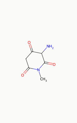 CN1C(=O)CC(=O)C(N)C1=O